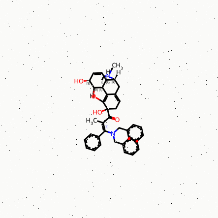 C/C(C(=O)C1(O)CC=C2C[C@@H]3[C@@H]4C=C[C@H](O)[C@@H]5OC1=C2[C@]45CCN3C)=C(\c1ccccc1)N(Cc1ccccc1)Cc1ccccc1